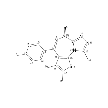 Cc1ccc(C2=N[C@@H](C)c3nnc(C)n3-c3sc(C)c(C)c32)cc1